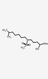 CCCCCC(O)CCCN(CCCCCC(C)C(=O)O)S(C)(=O)=O